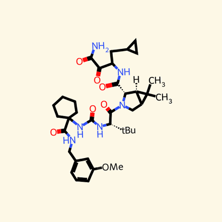 COc1cccc(CNC(=O)C2(NC(=O)N[C@H](C(=O)N3CC4[C@@H]([C@H]3C(=O)NC(CC3CC3)C(=O)C(N)=O)C4(C)C)C(C)(C)C)CCCCC2)c1